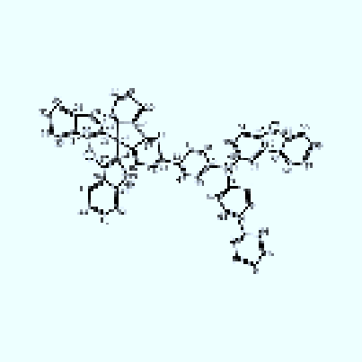 c1ccc(-c2ccc(N(c3ccc(-c4ccc5c(c4)-c4ccccc4C54c5ccc6ccccc6c5Oc5c4ccc4ccccc54)cc3)c3ccc4oc5ccccc5c4c3)cc2)cc1